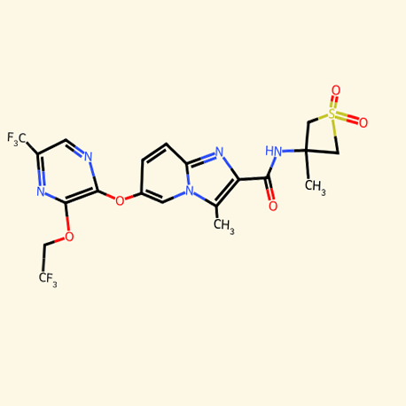 Cc1c(C(=O)NC2(C)CS(=O)(=O)C2)nc2ccc(Oc3ncc(C(F)(F)F)nc3OCC(F)(F)F)cn12